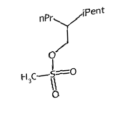 CCCC(C)C(CCC)COS(C)(=O)=O